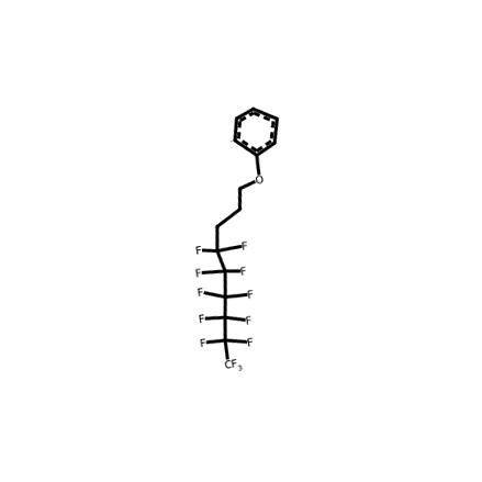 FC(F)(F)C(F)(F)C(F)(F)C(F)(F)C(F)(F)C(F)(F)CCCOc1[c]cccc1